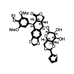 CCOc1c(OC)cc([C@@H]2c3cc4c(cc3[C@@H](O[C@@H]3O[C@@H]5COC(c6cccs6)O[C@H]5[C@H](O)[C@H]3O)[C@H]3COC(=O)[C@H]23)OCO4)cc1OC